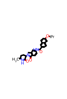 C=C1CCC(N2Cc3cc(NC(=O)c4ccc5cc(OC(C)C)ccc5c4)ccc3C2=O)C(=O)N1